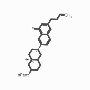 C=CCCc1cc(F)c2cc([C@@H]3CC[C@@H]4CC(CCCCC)CCC4C3)ccc2c1